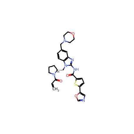 C=CC(=O)N1CCC[C@@H]1Cn1c(NC(=O)c2ccc(-c3cnco3)s2)nc2cc(CN3CCOCC3)ccc21